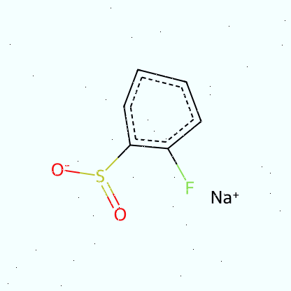 O=S([O-])c1ccccc1F.[Na+]